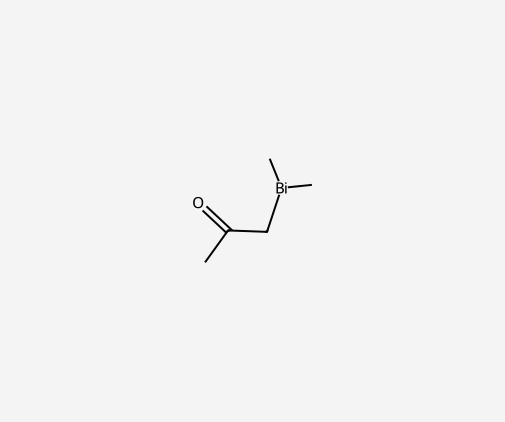 CC(=O)[CH2][Bi]([CH3])[CH3]